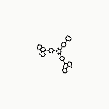 c1ccc(-c2ccc(-c3nc(-c4ccc(-c5cc6cccnc6c6ncccc56)cc4)nc(-c4ccc(-c5cc6cccnc6c6ncccc56)cc4)n3)cc2)cc1